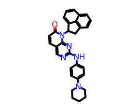 O=c1ccc2cnc(Nc3ccc(N4CCCCC4)cc3)nc2n1C1Cc2cccc3cccc1c23